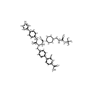 Cc1nc(C(=O)O)ccc1-c1ccc(C[C@H](NC(=O)[C@H]2CC[C@H](CNC(=O)OC(C)(C)C)CC2)C(=O)Nc2ccc(-c3nn[nH]n3)cc2)cc1